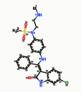 CCNCCN(c1ccc(NC(=C2C(=O)Nc3cc(Cl)ccc32)c2ccccc2)cc1)S(C)(=O)=O